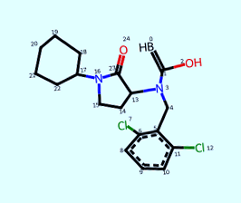 B=C(O)N(Cc1c(Cl)cccc1Cl)C1CCN(C2CCCCC2)C1=O